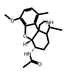 COc1ccc(C)c2c1O[C@H]1[C@@H](NC(C)=O)CCC3C(C)NCCC231